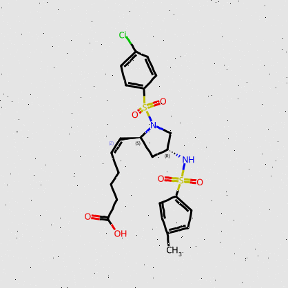 Cc1ccc(S(=O)(=O)N[C@@H]2C[C@@H](/C=C\CCCC(=O)O)N(S(=O)(=O)c3ccc(Cl)cc3)C2)cc1